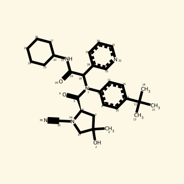 CC1(O)C[C@H](C(=O)N(c2ccc(C(C)(C)C)cc2)C(C(=O)NC2CCCCC2)c2cccnc2)N(C#N)C1